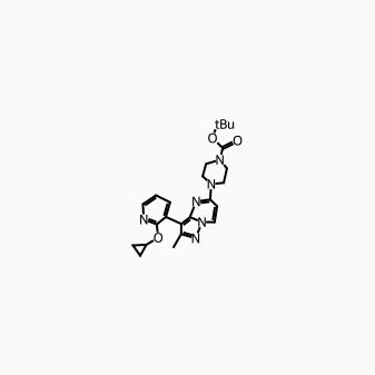 Cc1nn2ccc(N3CCN(C(=O)OC(C)(C)C)CC3)nc2c1-c1cccnc1OC1CC1